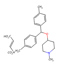 Cc1ccc(C(OC2CCN(C)CC2)c2ccc(C)cc2)cc1.O=C(O)C=CC(=O)O